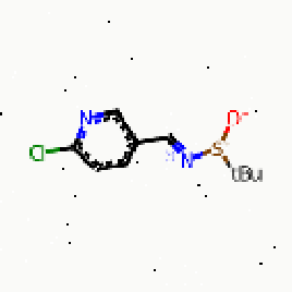 CC(C)(C)[S+]([O-])/N=C/c1ccc(Cl)nc1